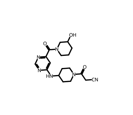 N#CCC(=O)N1CCC(Nc2cc(C(=O)N3CCCC(O)C3)ncn2)CC1